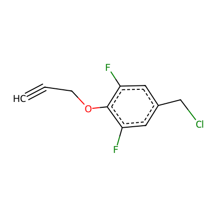 C#CCOc1c(F)cc(CCl)cc1F